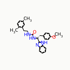 COc1ccc(C[C@@H](NC(=O)NCCc2cc(C)ccc2C)c2nc3ccccc3[nH]2)cc1